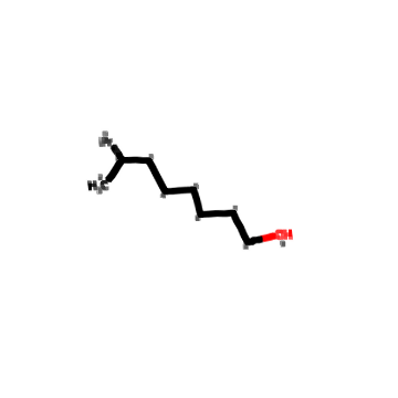 CC(C)C(C)CCCCCCO